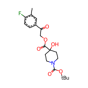 Cc1cc(C(=O)COC(=O)C2(O)CCN(C(=O)OC(C)(C)C)CC2)ccc1F